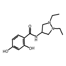 CCN1CC(NC(=O)c2ccc(O)cc2O)CN1CC